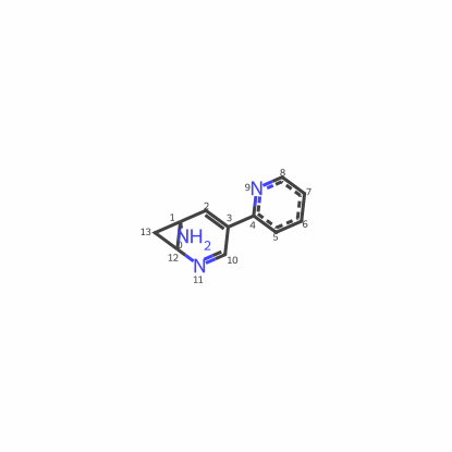 NC12C=C(c3ccccn3)C=NC1C2